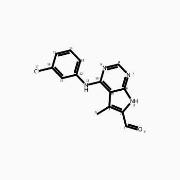 Cc1c(C=O)[nH]c2ncnc(Nc3cccc(Cl)c3)c12